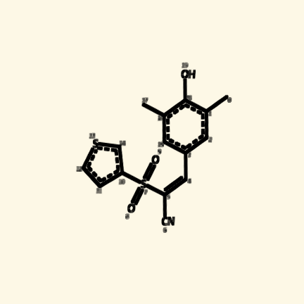 Cc1cc(/C=C(/C#N)S(=O)(=O)c2ccsc2)cc(C)c1O